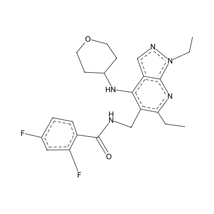 CCc1nc2c(cnn2CC)c(NC2CCOCC2)c1CNC(=O)c1ccc(F)cc1F